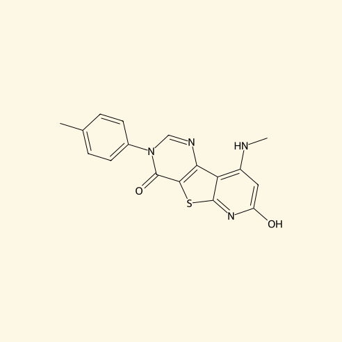 CNc1cc(O)nc2sc3c(=O)n(-c4ccc(C)cc4)cnc3c12